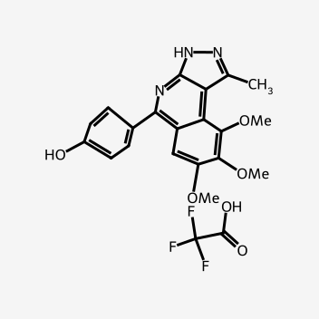 COc1cc2c(-c3ccc(O)cc3)nc3[nH]nc(C)c3c2c(OC)c1OC.O=C(O)C(F)(F)F